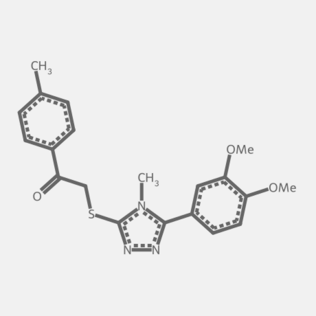 COc1ccc(-c2nnc(SCC(=O)c3ccc(C)cc3)n2C)cc1OC